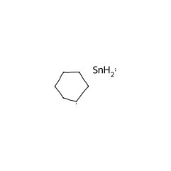 [CH]1CCCCC1.[SnH2]